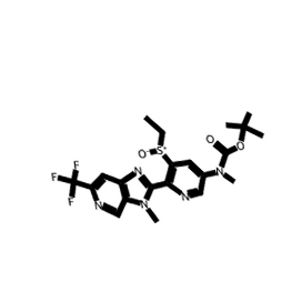 CC[S+]([O-])c1cc(N(C)C(=O)OC(C)(C)C)cnc1-c1nc2cc(C(F)(F)F)ncc2n1C